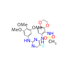 COc1cc(Nc2ncc(F)c(Nc3ccc4c(c3NS(C)(=O)=O)OCCO4)n2)cc(OC)c1OC